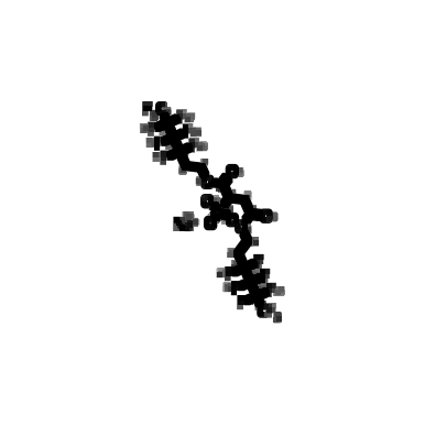 O=C(CC(C(=O)OCCC(F)(F)C(F)(F)C(F)(F)C(F)(F)F)S(=O)(=O)[O-])OCCC(F)(F)C(F)(F)C(F)(F)C(F)(F)F.[Na+]